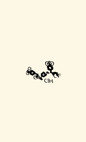 CCN(C(=O)Cc1ccc(S(C)(=O)=O)cc1)C1CCN(CC[C@@H](c2ccc(F)cc2)c2ccc(S(C)(=O)=O)cc2)CC1.Cl